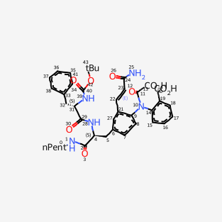 CCCCCNC(=O)[C@H](Cc1ccc(N(C(=O)C(=O)O)c2ccccc2C(=O)O)c(/C=C/C(N)=O)c1)NC(=O)[C@H](Cc1ccccc1)NC(=O)OC(C)(C)C